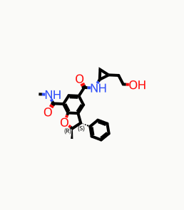 CNC(=O)c1cc(C(=O)NC2CC2CCO)cc2c1O[C@H](C)[C@H]2c1ccccc1